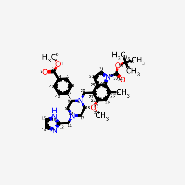 COC(=O)c1ccc([C@H]2CN(Cc3ncc[nH]3)CCN2Cc2c(OC)cc(C)c3c2ccn3C(=O)OC(C)(C)C)cc1